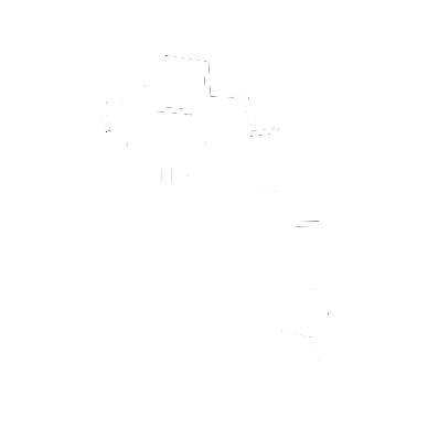 CC(=O)Oc1cccc2oc(=O)c(OC/C=C(\C)CCC=C(C)C)c(O)c12